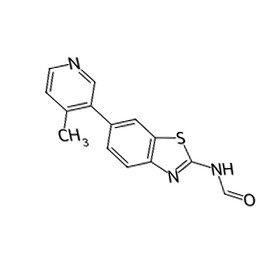 Cc1ccncc1-c1ccc2nc(NC=O)sc2c1